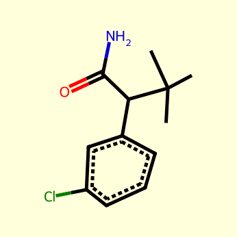 CC(C)(C)C(C(N)=O)c1cccc(Cl)c1